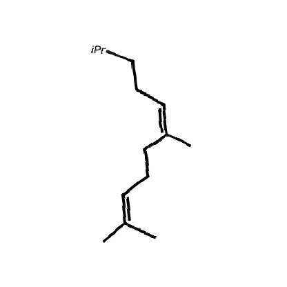 CC(C)=CCCC(C)=CCCC(C)C